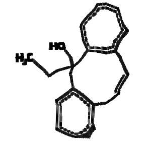 CCC1(O)c2ccccc2C=Cc2ccccc21